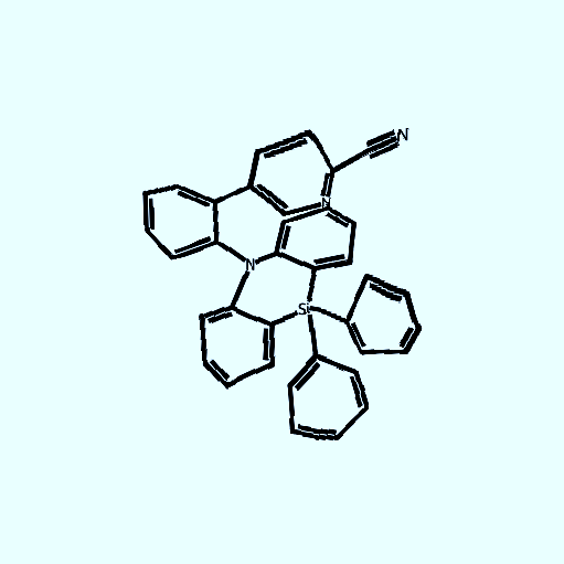 N#Cc1ccc(-c2ccccc2N2c3ccccc3[Si](c3ccccc3)(c3ccccc3)c3ccccc32)cn1